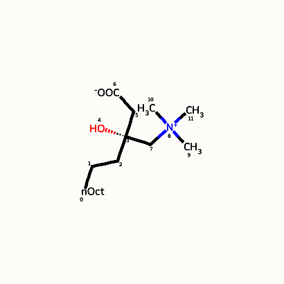 CCCCCCCCCC[C@@](O)(CC(=O)[O-])C[N+](C)(C)C